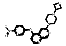 O=[N+]([O-])c1ccc(Oc2ccnc3cnc(N4CCN(C5COC5)CC4)cc23)cn1